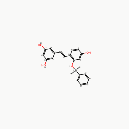 C[Si](C)(Oc1cc(O)ccc1/C=C/c1cc(O)cc(O)c1)c1ccccc1